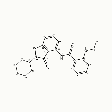 CCOc1ccccc1C(=O)Nc1cccc2c1C(=O)N(C1CCCCC1)C2